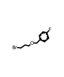 Fc1ccc(COCCCBr)cc1